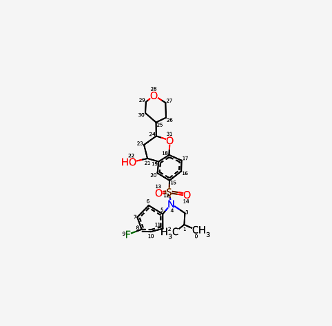 CC(C)CN(c1ccc(F)cc1)S(=O)(=O)c1ccc2c(c1)C(O)CC(C1CCOCC1)O2